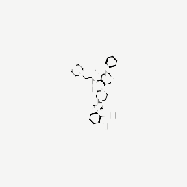 Cc1c(Cl)cccc1S(=O)(=O)N1CCN(c2cnn(-c3ccccc3)c(=O)c2NCCN2CCOCC2)CC1